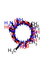 CCCCCCCC[C@@H]1NC(=O)[C@@H]2CCCN2C(=O)[C@H]2CCCN2C(=O)[C@H](Cc2ccc(O)cc2)NC(=O)[C@H](CCCCN)NC(=O)[C@H](CCC(N)=O)NC(=O)[C@@H]2CCCN2C(=O)[C@@H]2CCCN2C(=O)[C@H]([C@@H](C)CC)NC(=O)[C@H](CO)NC(=O)[C@H](C)NC(=O)[C@H]([C@@H](C)O)NC(=O)[C@H](CCC(=O)O)NC1=O